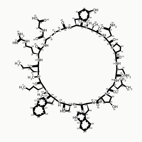 CCCC[C@H]1C(=O)N(C)[C@@H](CCCC)C(=O)N[C@@H](CCCNC(=N)N)C(=O)N[C@H](C(=O)NCC(=O)O)CSCC(=O)N[C@@H](Cc2ccc(O)cc2)C(=O)N(C)[C@@H](C)C(=O)N[C@@H](CC(N)=O)C(=O)N2CCC[C@H]2C(=O)N[C@@H](CN)C(=O)N[C@@H](CC(C)C)C(=O)N2C[C@@H](O)C[C@H]2C(=O)N[C@@H](Cc2c[nH]c3ccccc23)C(=O)N[C@@H](CO)C(=O)N[C@@H](Cc2csc3ccccc23)C(=O)N1C